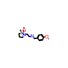 COc1ccc(C=NCCN2CCC[Si]2(C)OC)cc1